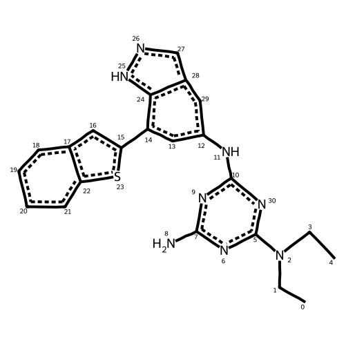 CCN(CC)c1nc(N)nc(Nc2cc(-c3cc4ccccc4s3)c3[nH]ncc3c2)n1